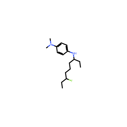 CCC(F)CCCC(CC)Nc1ccc(N(C)C)cc1